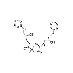 C=C(CC(C)(C)C(=O)OCC(O)COc1ccccc1)C(=O)OCC(O)COc1ccccc1